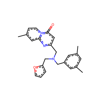 Cc1cc(C)cc(CN(Cc2cc(=O)n3ccc(C)cc3n2)Cc2ccco2)c1